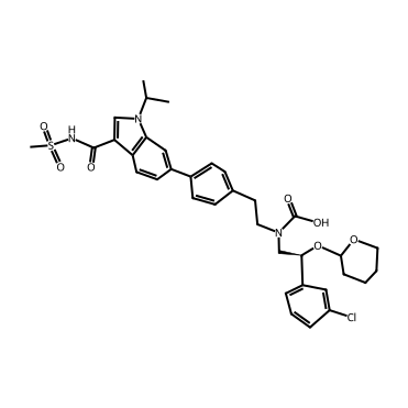 CC(C)n1cc(C(=O)NS(C)(=O)=O)c2ccc(-c3ccc(CCN(C[C@@H](OC4CCCCO4)c4cccc(Cl)c4)C(=O)O)cc3)cc21